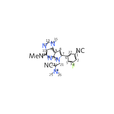 [C-]#[N+]c1cc(F)cc(-c2cc3c4c(ncn4C)c(NC)nc3n2CC(C#N)N(C)C)c1